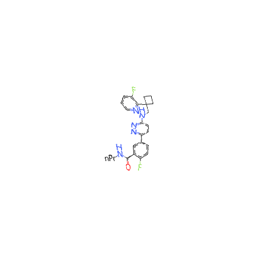 CCCNC(=O)c1cc(-c2ccc(NCC3(c4ncccc4F)CCC3)nn2)ccc1F